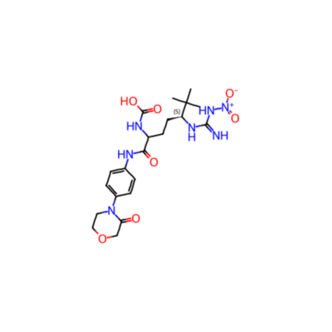 CC(C)(C)[C@H](CCC(NC(=O)O)C(=O)Nc1ccc(N2CCOCC2=O)cc1)NC(=N)N[N+](=O)[O-]